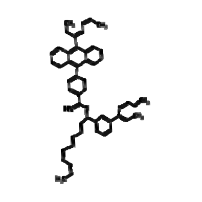 C=C/C=C\C(=C/C)c1cccc(C(/C=C/C=C/C=C\C=C/C)=N/C(=N)c2ccc(-c3c4ccccc4c(/C(C=C)=C/C=C\C)c4ccccc34)cc2)c1